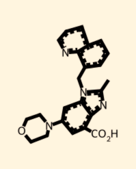 Cc1nc2c(C(=O)O)cc(N3CCOCC3)cc2n1Cc1cccc2cccnc12